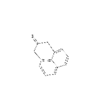 S=C1Cc2cccc3cccc(c23)C1